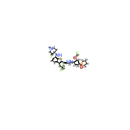 CN1CC[C@H](Nc2cccc3c(CC(F)(F)F)c(C#CCNc4ccc(P5(=O)CCCC5)cc4OCF)sc23)[C@H](F)C1